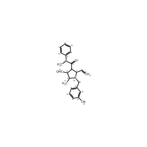 C=CC1C(C(=O)N(C)c2ccccc2)C(C=O)C(C)N1Cc1cccc(C#N)c1